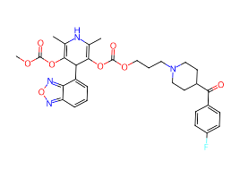 COC(=O)OC1=C(C)NC(C)=C(OC(=O)OCCCN2CCC(C(=O)c3ccc(F)cc3)CC2)C1c1cccc2nonc12